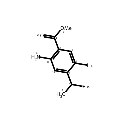 COC(=O)c1cc(I)c(C(C)F)cc1N